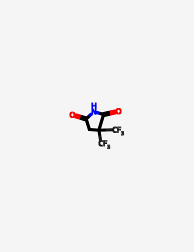 O=C1CC(C(F)(F)F)(C(F)(F)F)C(=O)N1